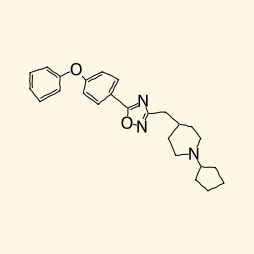 c1ccc(Oc2ccc(-c3nc(CC4CCN(C5CCCC5)CC4)no3)cc2)cc1